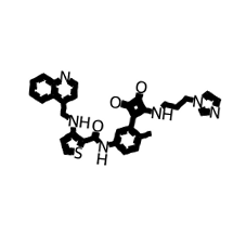 Cc1ccc(NC(=O)c2sccc2NCc2ccnc3ccccc23)cc1-c1c(NCCCn2ccnc2)c(=O)c1=O